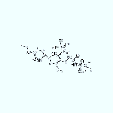 CCOc1ccc(C(CCOC)Oc2ccc(C(=O)NS(=O)(=O)C(C)(C)C)cc2C(F)(F)F)nc1